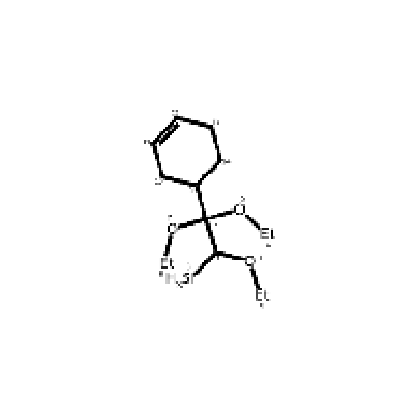 CCOC([SiH3])C(OCC)(OCC)C1CC=CCC1